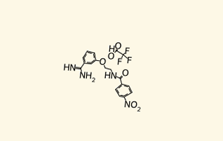 N=C(N)c1cccc(OCCNC(=O)c2ccc([N+](=O)[O-])cc2)c1.O=C(O)C(F)(F)F